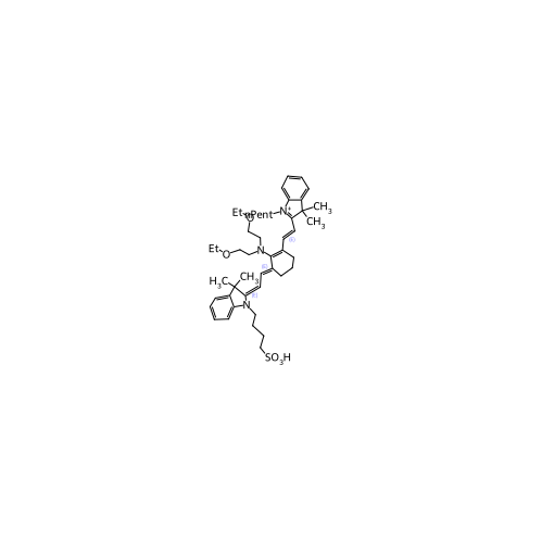 CCCCC[N+]1=C(/C=C/C2=C(N(CCOCC)CCOCC)C(=C/C=C3/N(CCCCS(=O)(=O)O)c4ccccc4C3(C)C)/CCC2)C(C)(C)c2ccccc21